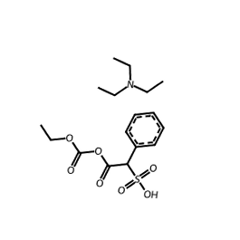 CCN(CC)CC.CCOC(=O)OC(=O)C(c1ccccc1)S(=O)(=O)O